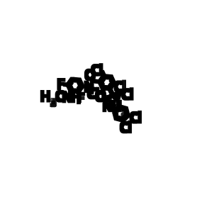 CNc1c(F)ccc(N(C)C(=O)c2cc(C3(C(N)=O)C(c4ccc(Cl)c(Cl)c4)C3(Cl)Cl)ccc2Cl)c1F